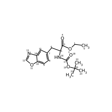 CCOC(=O)C(Cc1ccc2ocnc2c1)NC(=O)OC(C)(C)C